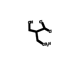 O=C(O)CC(CO)C(Cl)Cl